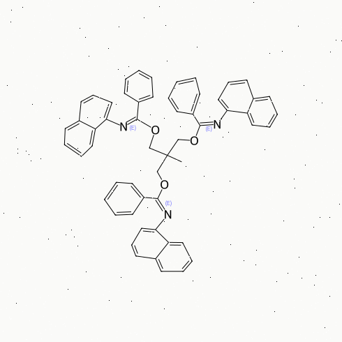 CC(CO/C(=N/c1cccc2ccccc12)c1ccccc1)(CO/C(=N/c1cccc2ccccc12)c1ccccc1)CO/C(=N/c1cccc2ccccc12)c1ccccc1